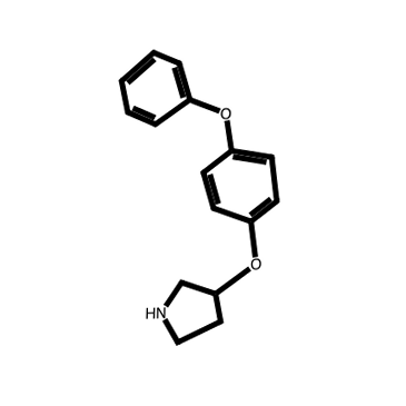 c1ccc(Oc2ccc(OC3CCNC3)cc2)cc1